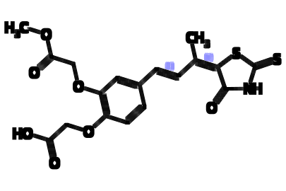 COC(=O)COc1cc(/C=C/C(C)=C2/SC(=S)NC2=O)ccc1OCC(=O)O